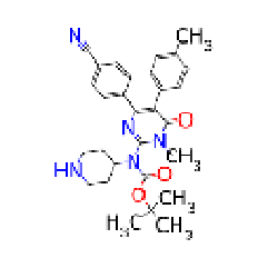 Cc1ccc(-c2c(-c3ccc(C#N)cc3)nc(N(C(=O)OC(C)(C)C)C3CCNCC3)n(C)c2=O)cc1